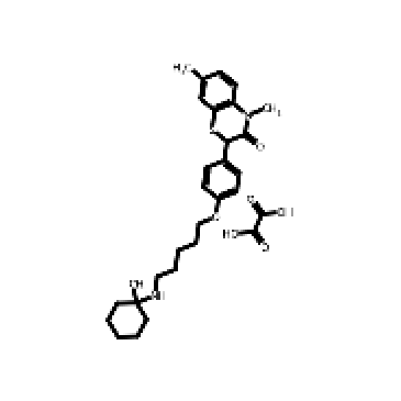 Cc1ccc2c(c1)SC(c1ccc(OCCCCCNC3(C)CCCCC3)cc1)C(=O)N2C.O=C(O)C(=O)O